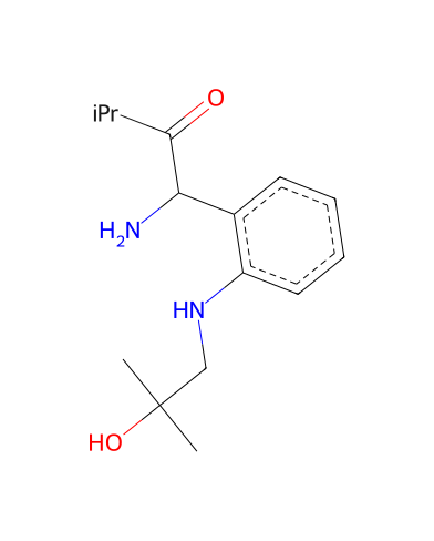 CC(C)C(=O)C(N)c1ccccc1NCC(C)(C)O